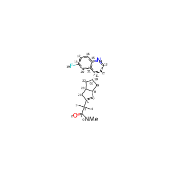 CNC(=O)C(C)(C)C1=CC2C[C@@H](c3ccnc4ccc(F)cc34)CC2C1